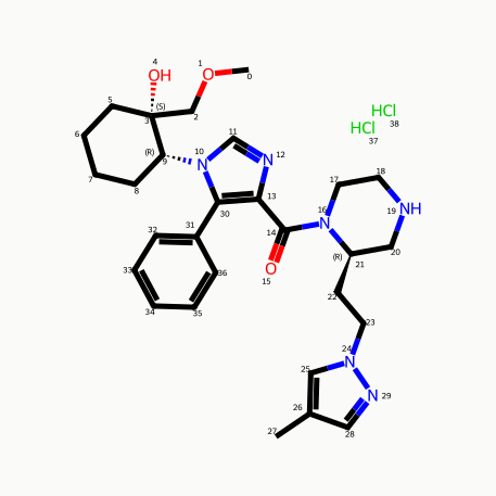 COC[C@]1(O)CCCC[C@H]1n1cnc(C(=O)N2CCNC[C@H]2CCn2cc(C)cn2)c1-c1ccccc1.Cl.Cl